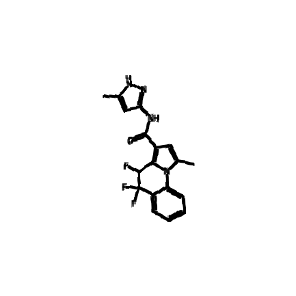 Cc1cc(NC(=O)c2cc(C)n3c2C(F)C(F)(F)c2ccccc2-3)n[nH]1